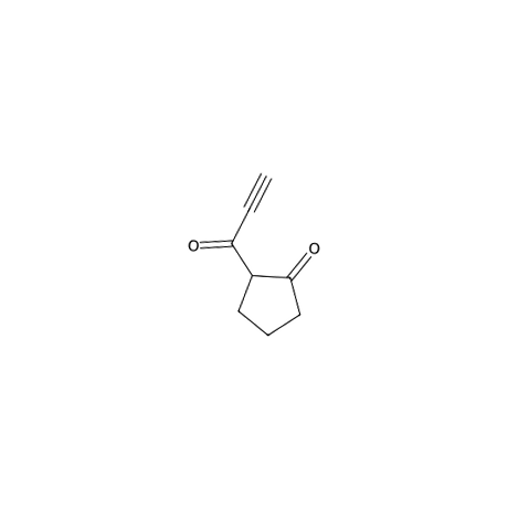 C#CC(=O)C1CCCC1=O